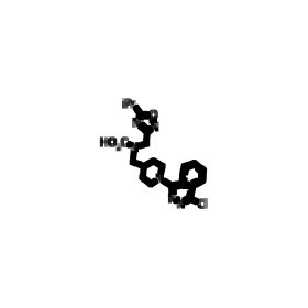 CC(C)c1nc(CN(CC2CCN(c3nnc(Cl)c4ccccc34)CC2)C(=O)O)no1